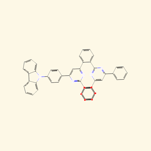 c1ccc(-c2cc(-c3ccccc3)nc(-c3ccccc3-c3cc(-c4ccc(-n5c6ccccc6c6ccccc65)cc4)nc(-c4ccccc4)n3)n2)cc1